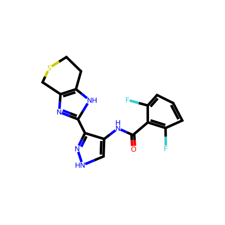 O=C(Nc1c[nH]nc1-c1nc2c([nH]1)CCSC2)c1c(F)cccc1F